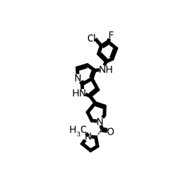 CN1CCC[C@H]1C(=O)N1CC=C(c2cc3c(Nc4ccc(F)c(Cl)c4)ccnc3[nH]2)CC1